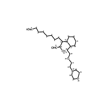 CCCCCCCCCCCCCCCCCC(N(C)C=O)N1CCCCC1CCOCCN1CCOCC1